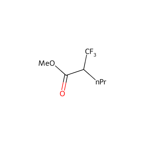 CCCC(C(=O)OC)C(F)(F)F